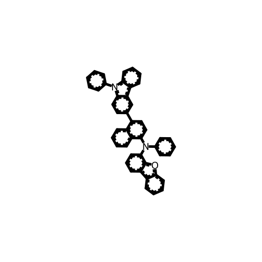 c1ccc(N(c2ccc(-c3ccc4c(c3)c3ccccc3n4-c3ccccc3)c3ccccc23)c2cccc3c2oc2ccccc23)cc1